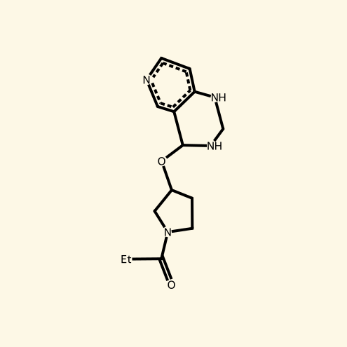 CCC(=O)N1CCC(OC2NCNc3ccncc32)C1